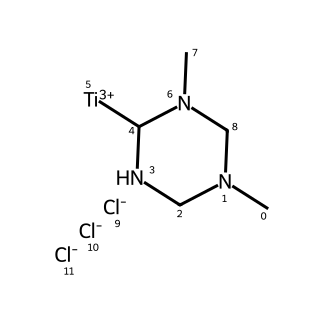 CN1CN[CH]([Ti+3])N(C)C1.[Cl-].[Cl-].[Cl-]